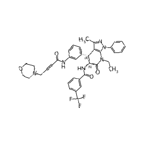 CCN1C(=O)[C@@H](NC(=O)c2cccc(C(F)(F)F)c2)[C@H](c2cccc(NC(=O)C#CCN3CCOCC3)c2)c2c(C)nn(-c3ccccc3)c21